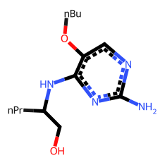 CCCCOc1cnc(N)nc1NC(CO)CCC